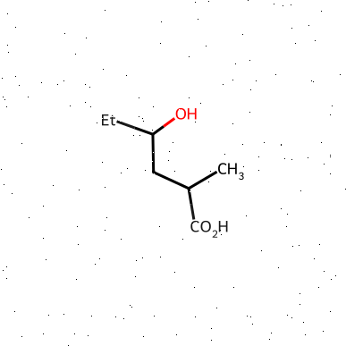 [CH2]CC(O)CC(C)C(=O)O